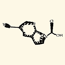 N#Cc1cnc2c(ccn2C(=O)O)c1